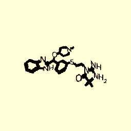 CN1CCC(OC(c2cccc(SCCN(C(=N)N)C(=O)C(C)(C)C)c2)c2nc3ccccc3[nH]2)CC1